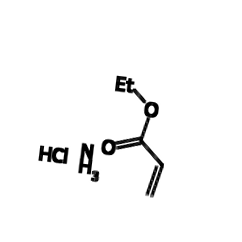 C=CC(=O)OCC.Cl.N